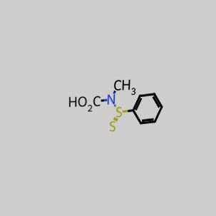 CN(C(=O)O)S(=S)c1ccccc1